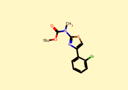 CN(C(=O)OC(C)(C)C)c1nc(-c2ccccc2Br)cs1